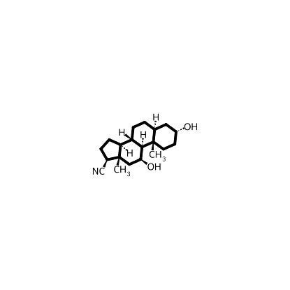 C[C@]12CC[C@@H](O)C[C@@H]1CC[C@@H]1[C@@H]2[C@@H](O)C[C@]2(C)[C@@H](C#N)CC[C@@H]12